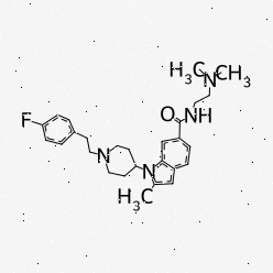 Cc1cc2ccc(C(=O)NCCN(C)C)cc2n1C1CCN(CCc2ccc(F)cc2)CC1